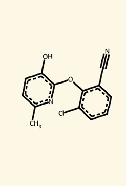 Cc1ccc(O)c(Oc2c(Cl)cccc2C#N)n1